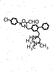 C[C@H](CC(=N)Cc1cc(CN2C[C@@H](c3ccc(Cl)cc3)OC2C=O)ccc1-c1ccccc1)N(C)C